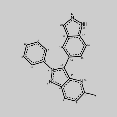 Cc1ccc2nn(-c3ccccc3)c(-c3ccc4[nH]ncc4c3)c2n1